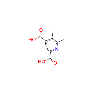 Cc1nc(C(=O)O)cc(C(=O)O)c1C